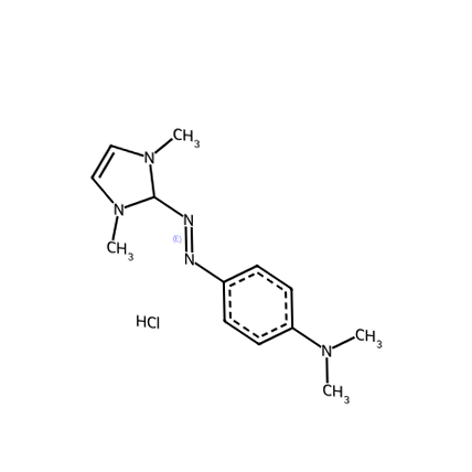 CN(C)c1ccc(/N=N/C2N(C)C=CN2C)cc1.Cl